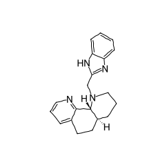 c1cnc2c(c1)CC[C@@H]1CCCN(Cc3nc4ccccc4[nH]3)[C@@H]21